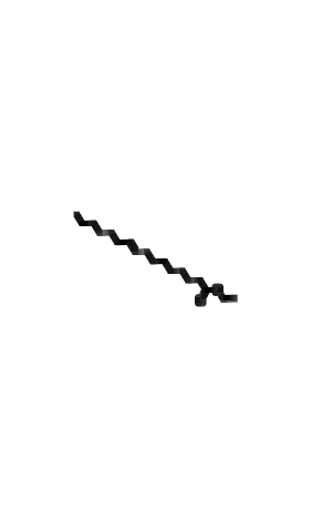 C=COC(=O)CCCCCCCC=CCCCCCC